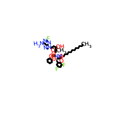 CCCCCCCCCCCCOC(=O)[C@H](Cc1cc(F)cc(F)c1)N[P@](=O)(OC[C@@]1(C)O[C@@H](n2cnc3c(N)nc(F)nc32)C[C@@H]1O)Oc1ccccc1